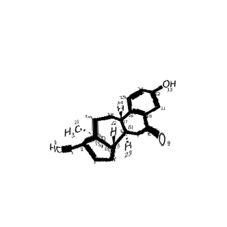 C#CC1=CC[C@H]2[C@@H]3CC(=O)c4cc(O)ccc4[C@H]3CC[C@]12C